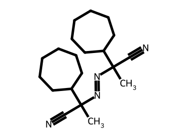 CC(C#N)(/N=N/C(C)(C#N)C1CCCCCC1)C1CCCCCC1